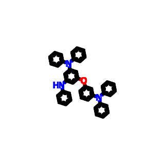 c1ccc(Nc2cc(Oc3cccc(N(c4ccccc4)c4ccccc4)c3)cc(N(c3ccccc3)c3ccccc3)c2)cc1